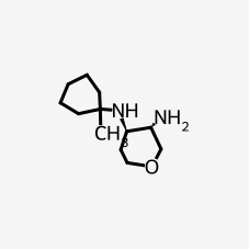 CC1(N[C@@H]2CCOC[C@H]2N)CCCCC1